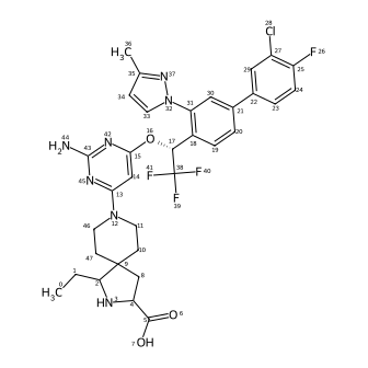 CCC1NC(C(=O)O)CC12CCN(c1cc(O[C@H](c3ccc(-c4ccc(F)c(Cl)c4)cc3-n3ccc(C)n3)C(F)(F)F)nc(N)n1)CC2